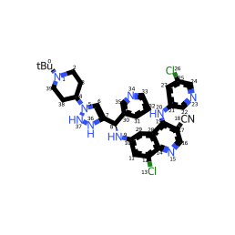 CC(C)(C)N1CCC(N2C=C([C@@H](Nc3cc(Cl)c4ncc(C#N)c(Nc5cncc(Cl)c5)c4c3)c3cccnc3)NN2)CC1